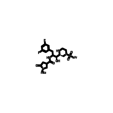 CCCCN1CC(C(=O)NC(Cc2cc(F)cc(F)c2)[C@H](O)[C@H]2CN(S(=O)(=O)CCC)CCN2)CC1=O